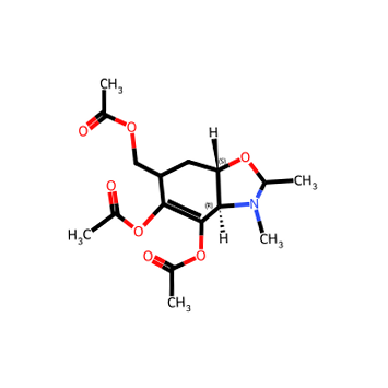 CC(=O)OCC1C[C@@H]2OC(C)N(C)[C@H]2C(OC(C)=O)=C1OC(C)=O